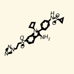 Nc1c(-c2ccc(NS(=O)(=O)C3CC3)cc2)n(C2CCC2)c2cc(S(=O)(=O)CCn3cncn3)ccc12